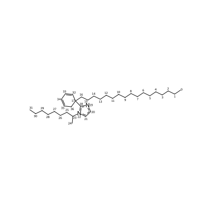 CCCCCCCCCCCCCCCCCC1(c2nccn2C(C)CCCCCCC)C=CC=CC1